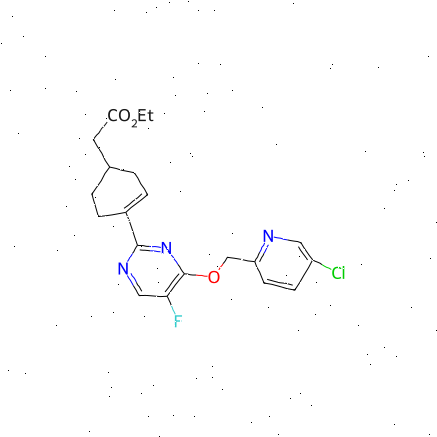 CCOC(=O)CC1CC=C(c2ncc(F)c(OCc3ccc(Cl)cn3)n2)CC1